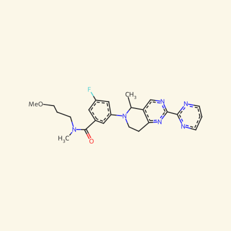 COCCCN(C)C(=O)c1cc(F)cc(N2CCc3nc(-c4ncccn4)ncc3C2C)c1